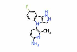 Cc1nc(N)ccc1-n1c2ccc(F)cc2c2[nH]ncc21